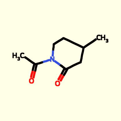 CC(=O)N1CCC(C)CC1=O